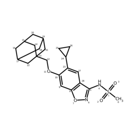 CS(=O)(=O)Nc1noc2cc(OCC34CC5CC(CC(C5)C3)C4)c(C3CC3)cc12